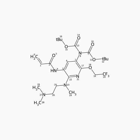 C=CC(=O)Nc1cc(N(C(=O)OC(C)(C)C)C(=O)OC(C)(C)C)c(OCC(F)(F)F)nc1N(C)CCN(C)C